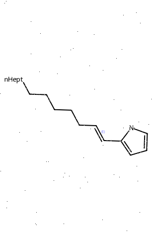 CCCCCCCCCCCC/C=C/C1=CC=C[N]1